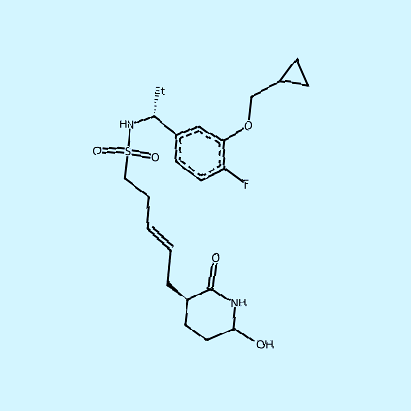 CC[C@@H](NS(=O)(=O)CC/C=C/C[C@@H]1CCC(O)NC1=O)c1ccc(F)c(OCC2CC2)c1